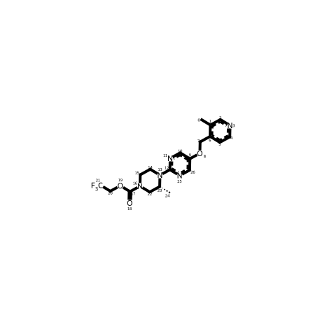 Cc1cnccc1COc1cnc(N2CCN(C(=O)OCC(F)(F)F)C[C@H]2C)nc1